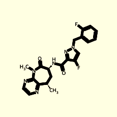 C[C@H]1C[C@@H](NC(=O)c2nn(Cc3ccccc3F)cc2F)C(=O)N(C)c2nccnc21